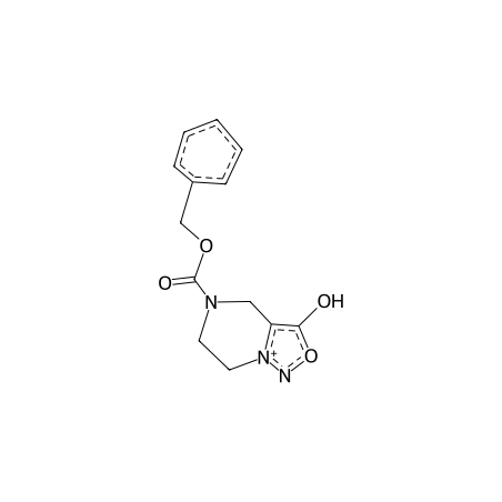 O=C(OCc1ccccc1)N1CC[n+]2noc(O)c2C1